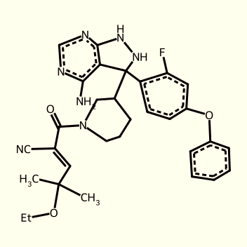 CCOC(C)(C)C=C(C#N)C(=O)N1CCCC(C2(c3ccc(Oc4ccccc4)cc3F)NNc3ncnc(N)c32)C1